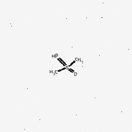 CS(C)(=O)=P